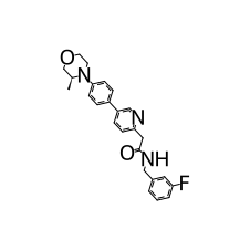 C[C@H]1COCCN1c1ccc(-c2ccc(CC(=O)NCc3cccc(F)c3)nc2)cc1